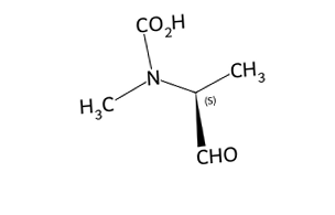 C[C@@H](C=O)N(C)C(=O)O